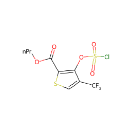 CCCOC(=O)c1scc(C(F)(F)F)c1OS(=O)(=O)Cl